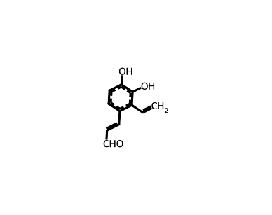 C=Cc1c(/C=C/C=O)ccc(O)c1O